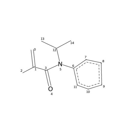 C=C(C)C(=O)N(c1ccccc1)C(C)C